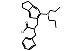 CCCN(CCC)c1cc2c(cc1CN(Cc1ccccc1)C(=O)O)CCC2